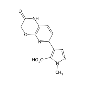 Cn1ncc(-c2ccc3c(n2)OCC(=O)N3)c1C(=O)O